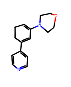 C1=C(c2ccncc2)CCC=C1N1CCOCC1